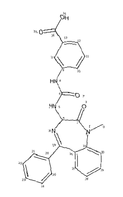 CN1C(=O)C(NC(=O)Nc2cccc(C(=O)O)c2)N=C(c2ccccc2)c2ccccc21